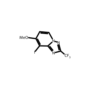 COc1ccn2nc(C(F)(F)F)nc2c1I